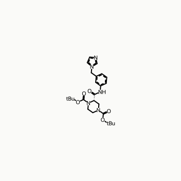 CC(C)(C)OC(=O)N1CCN(C(=O)OC(C)(C)C)[C@H](C(=O)Nc2cccc(Cn3ccnc3)c2)C1